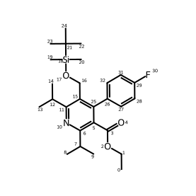 CCOC(=O)c1c(C(C)C)nc(C(C)C)c(CO[Si](C)(C)C(C)(C)C)c1-c1ccc(F)cc1